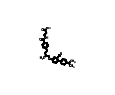 CC(CCc1ccc(C(=O)NCCC(=O)O)cc1)COc1ccc(-c2ccc(C(C)C)cc2)c(C#N)c1